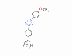 C/C(=C\C(=O)O)c1ccc(-c2ncn(-c3ccc(OC(F)(F)F)cc3)n2)cc1